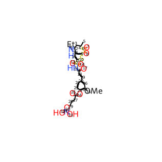 CCN[C@H]1CC(C)S(=O)(=O)c2sc(S(=O)(=O)NC(=O)/C=C/c3ccc(OC(=O)CCCON(O)O)c(OC)c3)cc21